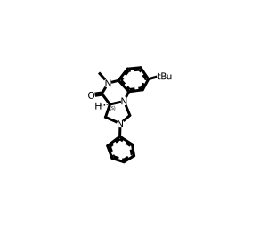 CN1C(=O)[C@@H]2CN(c3ccccc3)CN2c2cc(C(C)(C)C)ccc21